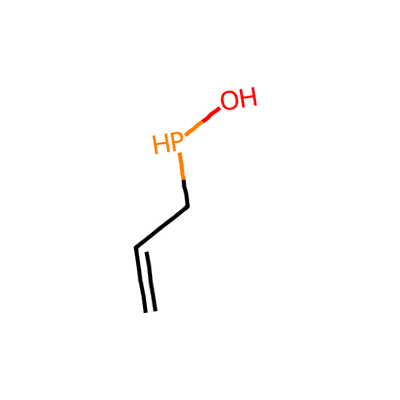 C=CCPO